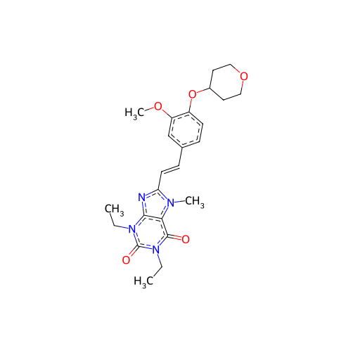 CCn1c(=O)c2c(nc(/C=C/c3ccc(OC4CCOCC4)c(OC)c3)n2C)n(CC)c1=O